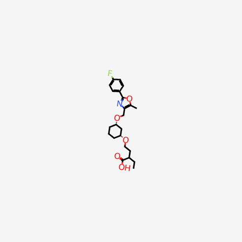 CCC(CCO[C@@H]1CCC[C@H](OCc2nc(-c3ccc(F)cc3)oc2C)C1)C(=O)O